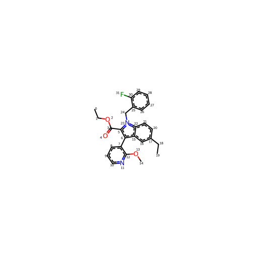 CCOC(=O)c1c(-c2cccnc2OC)c2cc(CC)ccc2n1Cc1ccccc1F